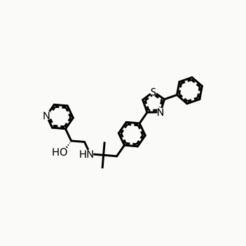 CC(C)(Cc1ccc(-c2csc(-c3ccccc3)n2)cc1)NC[C@H](O)c1cccnc1